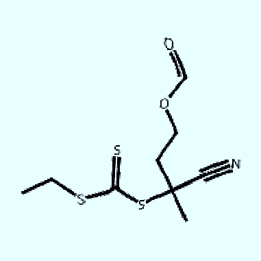 CCSC(=S)SC(C)(C#N)CCOC=O